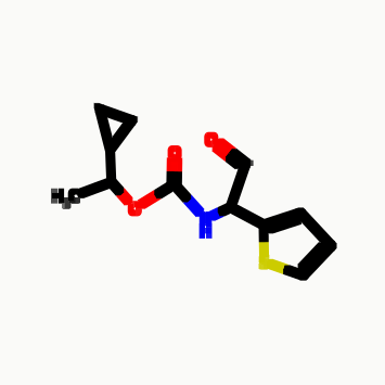 CC(OC(=O)NC([C]=O)c1cccs1)C1CC1